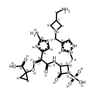 NCC1CN(Cc2cnn(C[C@H]3C(NC(=O)/C(=N\OC4(C(=O)O)CC4)c4csc(N)n4)C(=O)N3S(=O)(=O)O)n2)C1